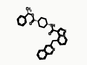 C[C@H](OC(=O)[C@H]1CC[C@@H](NC(=O)c2cnn3cccc(Cc4cc5ccccc5cn4)c23)CC1)c1ccccc1